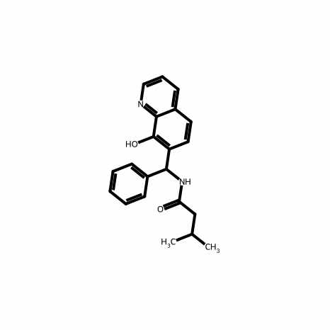 CC(C)CC(=O)NC(c1ccccc1)c1ccc2cccnc2c1O